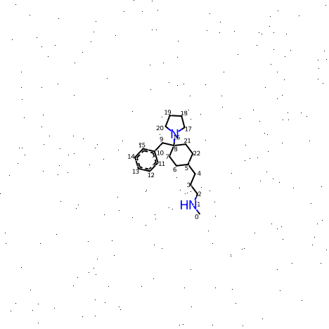 CNCCCC1CCC(Cc2ccccc2)(N2CCCC2)CC1